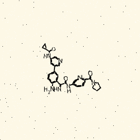 N=C(C(=O)Nc1ccc(C(=O)N2CCCC2)nc1)c1cc(-c2cncc(NC(=O)C3CC3)c2)ccc1N